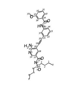 CCCCS(=O)(CCCC)=NC(=O)c1cnc(N)c(C#Cc2cccc(NC(=O)c3cccc(OC)c3)c2)c1